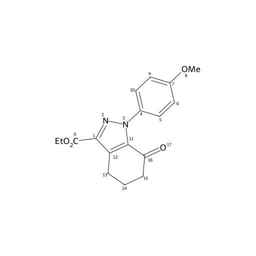 CCOC(=O)c1nn(-c2ccc(OC)cc2)c2c1CCCC2=O